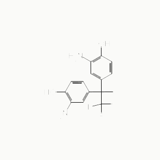 CC(c1ccc(O)c(N)c1)(c1ccc(O)c(N)c1)C(F)(F)F